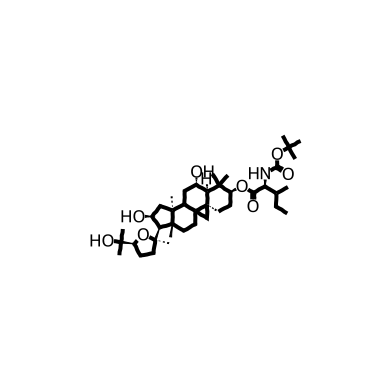 CCC(C)[C@H](NC(=O)OC(C)(C)C)C(=O)O[C@H]1CC[C@]23CC24CC[C@]2(C)[C@@H]([C@@]5(C)CC[C@@H](C(C)(C)O)O5)[C@@H](O)C[C@@]2(C)C4C[C@H](O)[C@H]3C1(C)C